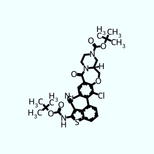 CC(C)(C)OC(=O)Nc1sc2cccc(-c3c(Cl)cc4c(c3Cl)OC[C@H]3CN(C(=O)OC(C)(C)C)CCN3C4=O)c2c1C#N